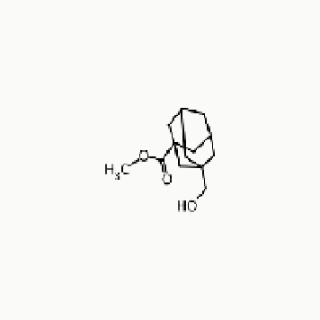 COC(=O)C12CC3CC(CC(CO)(C3)C1)C2